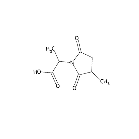 CC1CC(=O)N(C(C)C(=O)O)C1=O